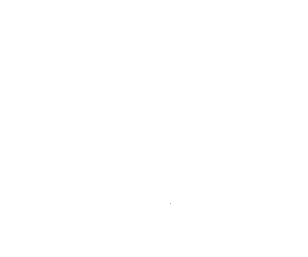 CC(CCOS(=O)(=O)C(C)(C)C(F)(F)F)OS(=O)(=O)C(C)(C)C(F)(F)F